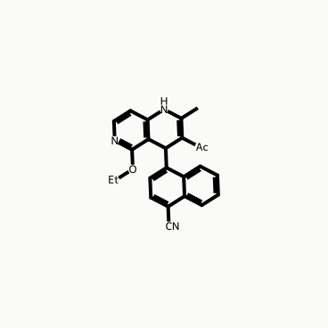 CCOc1nccc2c1C(c1ccc(C#N)c3ccccc13)C(C(C)=O)=C(C)N2